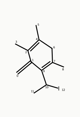 C=C1C(C)=C(C)CC(C)=C1C(C)I